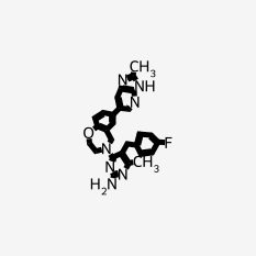 Cc1nc2cc(-c3ccc4c(c3)CN(c3nc(N)nc(C)c3Cc3ccc(F)cc3)CCO4)cnc2[nH]1